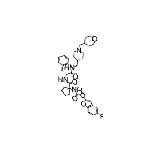 O=C(NC1(C(=O)N[C@H](Cc2ccccc2)C(=O)NCC2CCN(CC3CCOCC3)CC2)CCCC1)Oc1cc2cc(F)ccc2o1